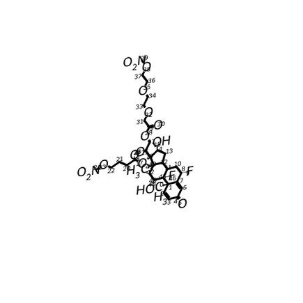 C[C@]12C=CC(=O)C=C1[C@@H](F)CC1C3C[C@@H](O)[C@](OC(=O)CCCO[N+](=O)[O-])(C(=O)COC(=O)COCCOCCO[N+](=O)[O-])[C@@]3(C)C[C@H](O)[C@@]12F